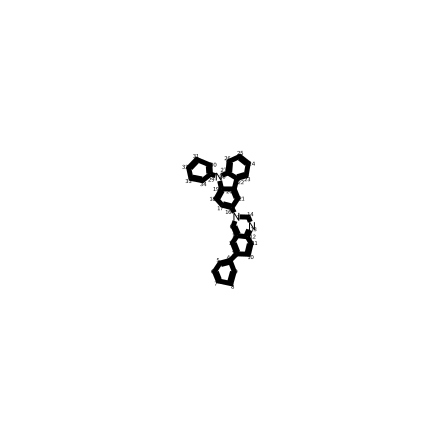 C1=c2cc(-c3ccccc3)ccc2=NCN1c1ccc2c(c1)c1ccccc1n2-c1ccccc1